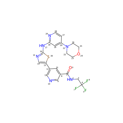 O=C(NCC(F)(F)F)c1cncc(-c2cnc(Nc3cc(N4CCOCC4)ccn3)s2)c1